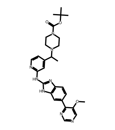 COc1cncnc1-c1ccc2nc(Nc3cc(C(C)N4CCN(C(=O)OC(C)(C)C)CC4)ccn3)[nH]c2c1